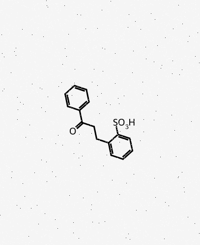 O=C(CCc1ccccc1S(=O)(=O)O)c1ccccc1